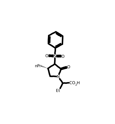 CCC[C@H]1CN(C(CC)C(=O)O)C(=O)C1S(=O)(=O)c1ccccc1